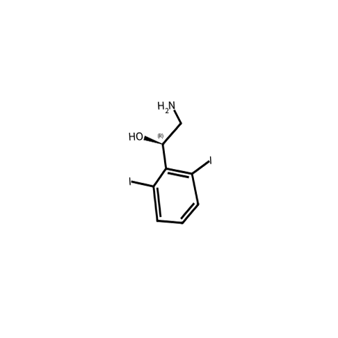 NC[C@H](O)c1c(I)cccc1I